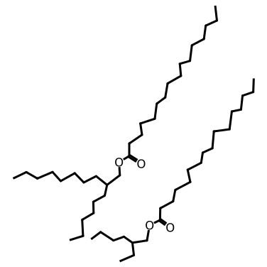 CCCCCCCCCCCCCCCC(=O)OCC(CC)CCCC.CCCCCCCCCCCCCCCC(=O)OCC(CCCCCC)CCCCCCCC